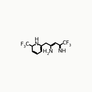 N=C(/C=C(\N)CC1=CC=CC(C(F)(F)F)N1)C(F)(F)F